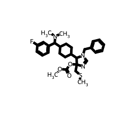 COC(=O)OC1(CSC)N=CN(Cc2ccccc2)C1C1CCC(C(c2cccc(F)c2)N(C)C)CC1